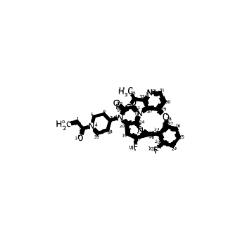 C=CC(=O)N1CCC(n2c(=O)c(=O)n3c4nc(c(F)cc42)c2c(F)cccc2oc2ccnc(C(C)C)c23)CC1